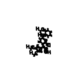 Cc1ccccc1Nc1ccc(C(=NO)c2nc(C)c(C)s2)c(Cl)c1